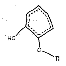 Oc1ccccc1[O][Tl]